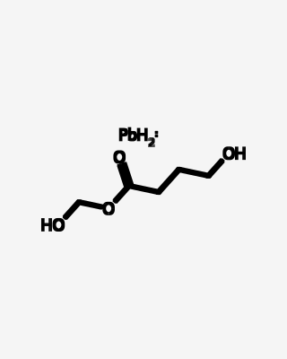 O=C(CCCO)OCO.[PbH2]